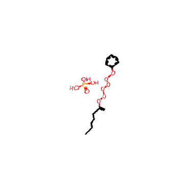 C=C(CCCCC)OOOOOOc1ccccc1.O=P(O)(O)O